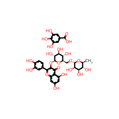 C[C@@H]1O[C@@H](OC[C@H]2O[C@@H](Oc3c(-c4ccc(O)c(O)c4)oc4cc(O)cc(O)c4c3=O)[C@H](O)[C@@H](O)[C@@H]2O)[C@H](O)[C@H](O)[C@H]1O.O=C(O)c1cc(O)c(O)c(O)c1